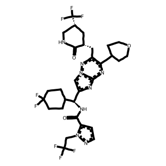 O=C(N[C@H](c1cn2nc(C[C@H]3C[C@@H](C(F)(F)F)CNC3=O)c(C3CCOCC3)nc2n1)C1CCC(F)(F)CC1)c1ccnn1CC(F)(F)F